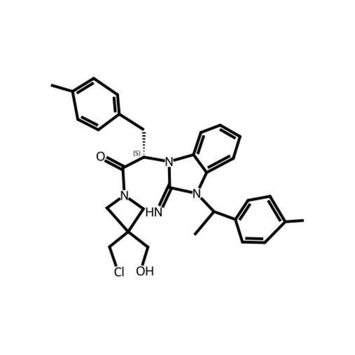 Cc1ccc(C[C@@H](C(=O)N2CC(CO)(CCl)C2)n2c(=N)n(C(C)c3ccc(C)cc3)c3ccccc32)cc1